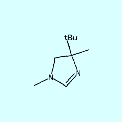 CN1C=NC(C)(C(C)(C)C)C1